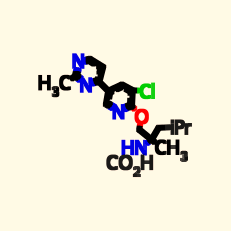 Cc1nccc(-c2cnc(OCC(C)(CC(C)C)NC(=O)O)c(Cl)c2)n1